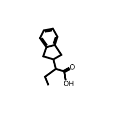 CCC(C(=O)O)C1Cc2ccccc2C1